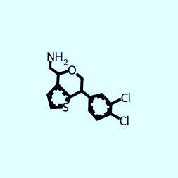 NCC1OCC(c2ccc(Cl)c(Cl)c2)c2sccc21